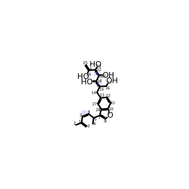 C=C(C)/C=C\C(C)c1coc2ccc(C/C(CO)=C(O)/C(O)=C(/O)C(=C)O)cc12